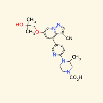 CC1CN(C(=O)O)CCN1c1ccc(-c2cc(OCC(C)(C)O)cn3ncc(C#N)c23)cn1